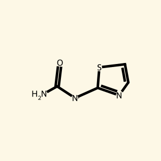 NC(=O)[N]c1nccs1